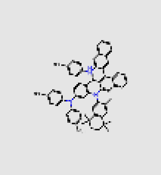 Cc1cc2c(cc1N1c3cc(N(c4ccc(C(C)(C)C)cc4)c4ccc(C(C)(C)C)cc4)ccc3Bc3c1cc1ccccc1c3-c1cc3ccccc3cc1Nc1ccc(C(C)(C)C)cc1)C(C)(C)CCC2(C)C